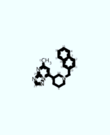 Cc1cc(C2CCCN(Cc3ccc4ccccc4c3)C2)n2ncnc2n1